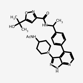 CC(=O)NC1CCN(c2n[nH]c3nccc(-c4ccc(C(C)NC(=O)c5cc(C(C)(C)O)on5)cc4)c23)CC1